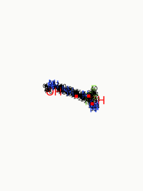 CC[C@@H]([C@H](C)O)n1cc(-c2ccc(N3CCN(c4ccc(-c5ccc(C(F)(F)[C@](O)(Cn6cnnn6)c6ccc(F)cc6F)nc5)cc4)CC3)cc2)nn1